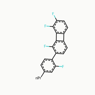 CCCc1ccc(-c2ccc3c(c2F)-c2c-3ccc(F)c2F)c(F)c1